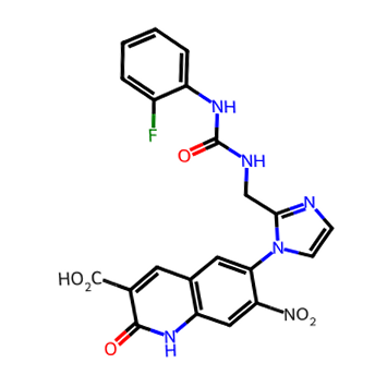 O=C(NCc1nccn1-c1cc2cc(C(=O)O)c(=O)[nH]c2cc1[N+](=O)[O-])Nc1ccccc1F